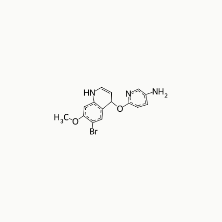 COc1cc2c(cc1Br)C(Oc1ccc(N)cn1)C=CN2